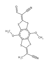 COc1c2c(c(OC)c3c1SC(=C(C#N)C=O)S3)SC(=C(C)C#N)S2